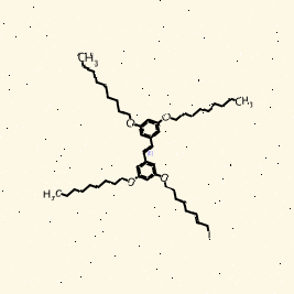 CCCCCCCCCOc1cc(/C=C/c2cc(OCCCCCCCCC)cc(OCCCCCCCCI)c2)cc(OCCCCCCCCC)c1